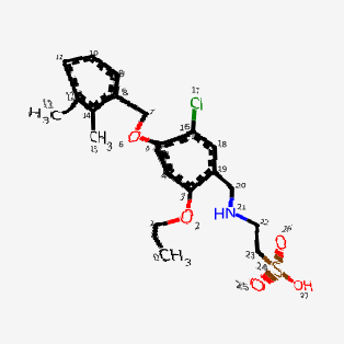 CCOc1cc(OCc2cccc(C)c2C)c(Cl)cc1CNCCS(=O)(=O)O